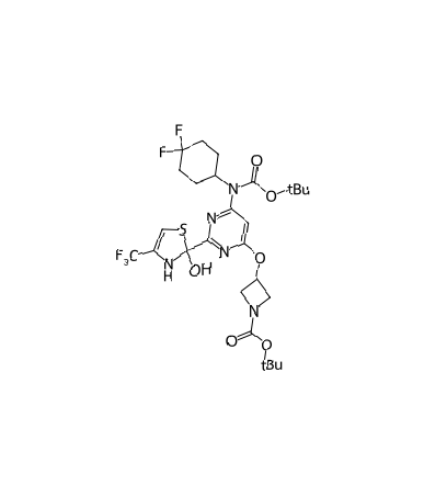 CC(C)(C)OC(=O)N1CC(Oc2cc(N(C(=O)OC(C)(C)C)C3CCC(F)(F)CC3)nc(C3(O)NC(C(F)(F)F)=CS3)n2)C1